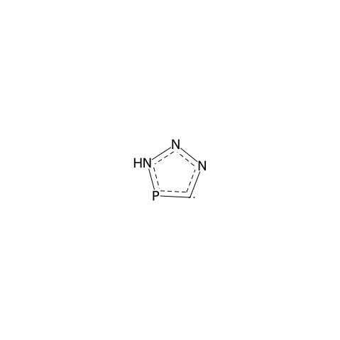 [c]1nn[nH]p1